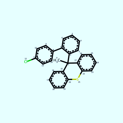 CC1(c2ccccc2-c2ccc(Cl)cc2)c2ccccc2Sc2ccccc21